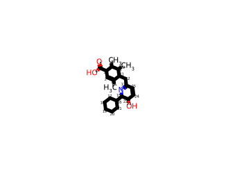 CC1=CC(C(=O)O)C(C)C(C)C1CC1=NC(C2CCCCC2)C(O)C=C1